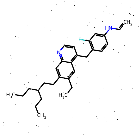 C=CNc1ccc(Cc2ccnc3cc(CCC(CCC)CCC)c(CC)cc23)c(F)c1